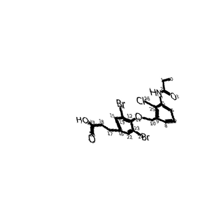 CCC(=O)Nc1cccc(COc2c(Br)cc(CCC(=O)O)cc2Br)c1Cl